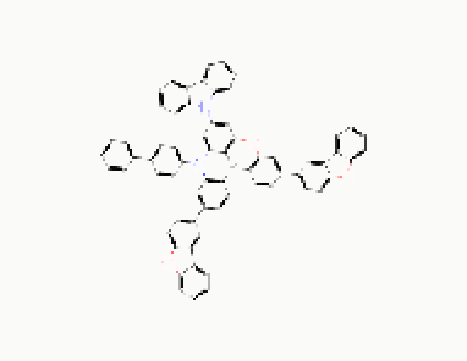 c1ccc(-c2ccc(N3c4cc(-c5ccc6oc7ccccc7c6c5)ccc4B4c5ccc(-c6ccc7oc8ccccc8c7c6)cc5Oc5cc(-n6c7ccccc7c7ccccc76)cc3c54)cc2)cc1